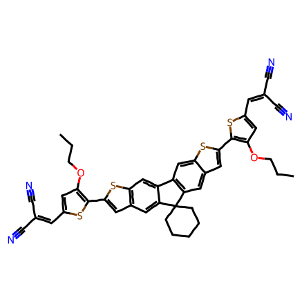 CCCOc1cc(C=C(C#N)C#N)sc1-c1cc2cc3c(cc2s1)-c1cc2sc(-c4sc(C=C(C#N)C#N)cc4OCCC)cc2cc1C31CCCCC1